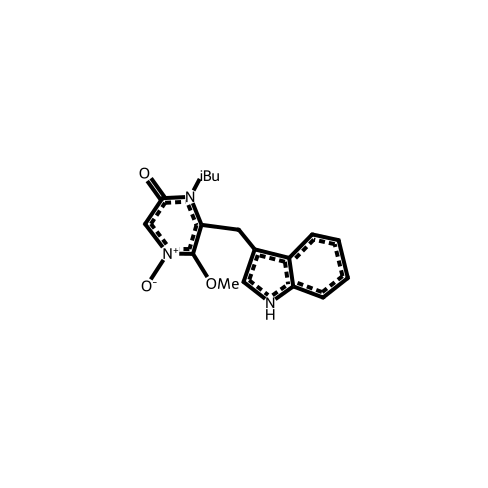 CCC(C)n1c(Cc2c[nH]c3ccccc23)c(OC)[n+]([O-])cc1=O